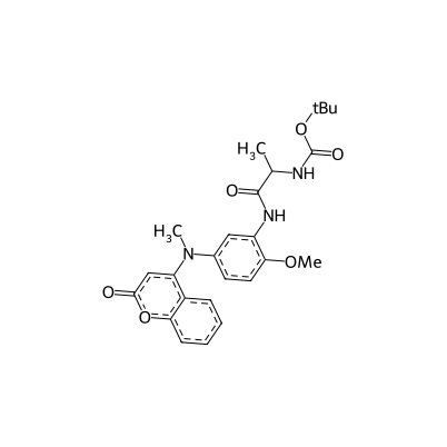 COc1ccc(N(C)c2cc(=O)oc3ccccc23)cc1NC(=O)C(C)NC(=O)OC(C)(C)C